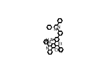 CCC(c1ccccc1)c1c(C)c2c(c(C)c1-c1ccc(-c3cccc(-c4nc(-c5ccccc5)cc([C@H]5C=CC=CC5)n4)c3)cc1N)C(c1ccccc1)=NC1C=CC=CC21